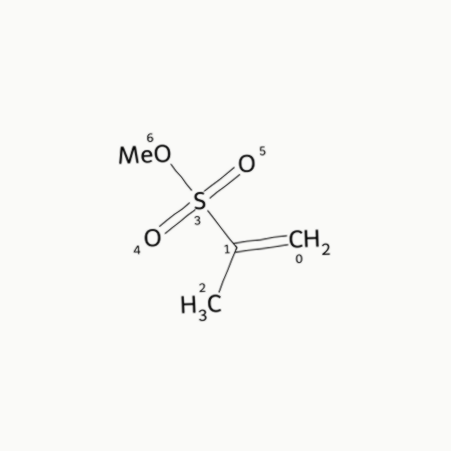 C=C(C)S(=O)(=O)OC